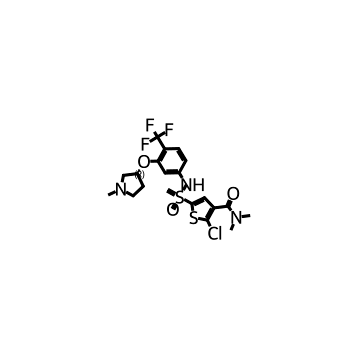 C=S(=O)(Nc1ccc(C(F)(F)F)c(O[C@@H]2CCN(C)C2)c1)c1cc(C(=O)N(C)C)c(Cl)s1